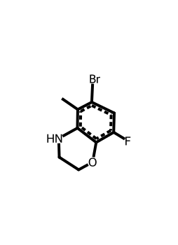 Cc1c(Br)cc(F)c2c1NCCO2